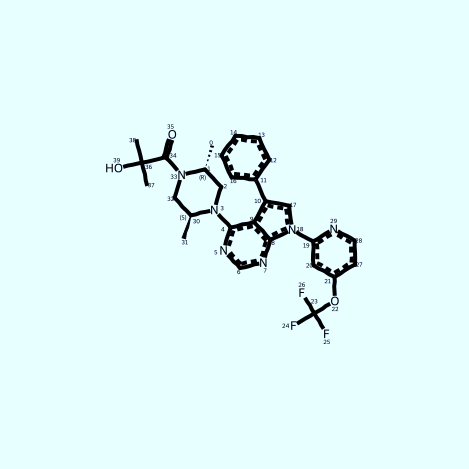 C[C@@H]1CN(c2ncnc3c2c(-c2ccccc2)cn3-c2cc(OC(F)(F)F)ccn2)[C@@H](C)CN1C(=O)C(C)(C)O